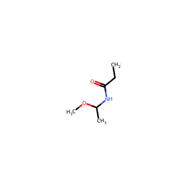 [CH2]CC(=O)NC(C)OC